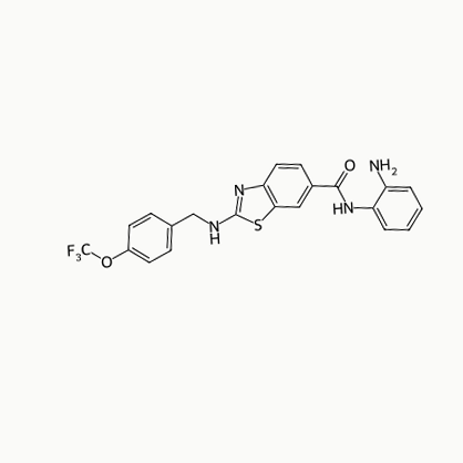 Nc1ccccc1NC(=O)c1ccc2nc(NCc3ccc(OC(F)(F)F)cc3)sc2c1